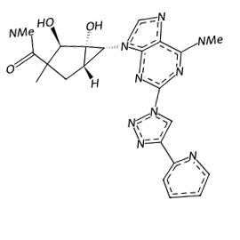 CNC(=O)C1(C)C[C@H]2[C@@H](n3cnc4c(NC)nc(-n5cc(-c6ccccn6)nn5)nc43)[C@]2(O)[C@@H]1O